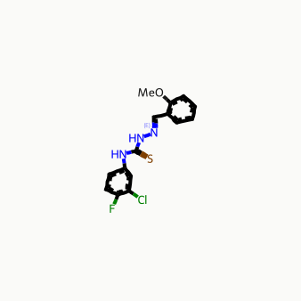 COc1ccccc1/C=N/NC(=S)Nc1ccc(F)c(Cl)c1